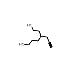 C#CCN(CCO)CCCO